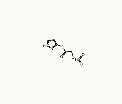 O=C(CO[SH](=O)=O)Oc1cc[nH]n1